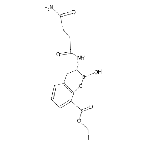 CCOC(=O)c1cccc2c1OB(O)[C@@H](NC(=O)CCC(N)=O)C2